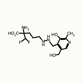 Cc1ncc(CO)c(CNNCCCC(N)(C(=O)O)C(F)F)c1O